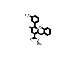 CC(C)(C)OC(=O)c1cc(F)c(-c2cccc(C(F)(F)F)c2)nc1Cc1ccccc1Cl